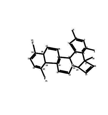 Cc1cc(C)c2c(c1)C1C3=C(C=CN1C1C=CC21C)C1C(F)=CC=C(F)C1C=C3